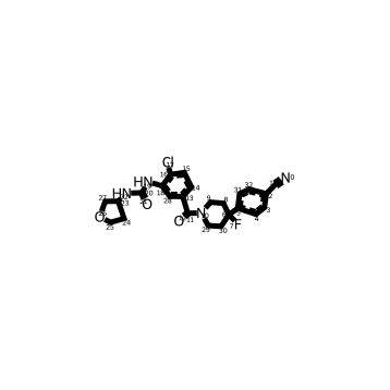 N#Cc1ccc(C2(F)CCN(C(=O)c3ccc(Cl)c(NC(=O)NC4CCOC4)c3)CC2)cc1